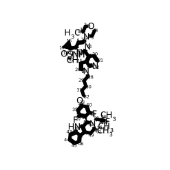 C[C@@H]1COCCN1c1cc(C2(S(C)(=N)=O)CC2)nc(-c2ccnc3c2ccn3CCCCCOc2cc(F)c([C@@H]3c4[nH]c5ccccc5c4C[C@@H](C)N3CC(C)(C)F)c(F)c2)n1